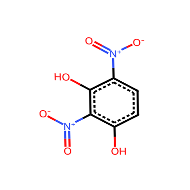 O=[N+]([O-])c1ccc(O)c([N+](=O)[O-])c1O